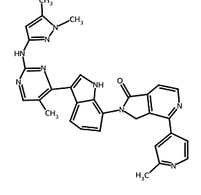 Cc1cc(-c2nccc3c2CN(c2cccc4c(-c5nc(Nc6cc(C)n(C)n6)ncc5C)c[nH]c24)C3=O)ccn1